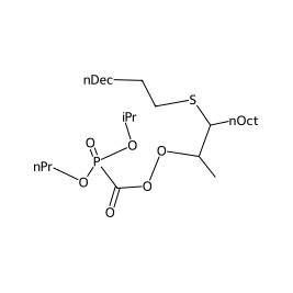 CCCCCCCCCCCCSC(CCCCCCCC)C(C)OOC(=O)P(=O)(OCCC)OC(C)C